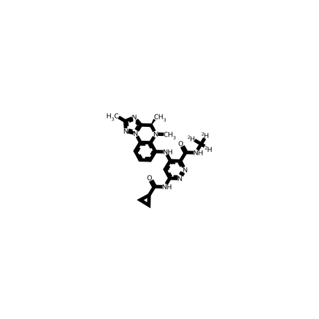 [2H]C([2H])([2H])NC(=O)c1nnc(NC(=O)C2CC2)cc1Nc1cccc2c1N(C)[C@H](C)c1nc(C)nn1-2